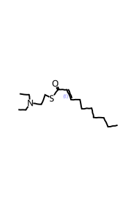 CCCCCCC/C=C/C(=O)SCCN(CC)CC